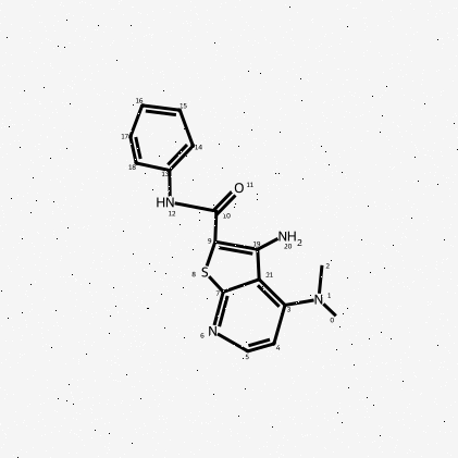 CN(C)c1ccnc2sc(C(=O)Nc3ccccc3)c(N)c12